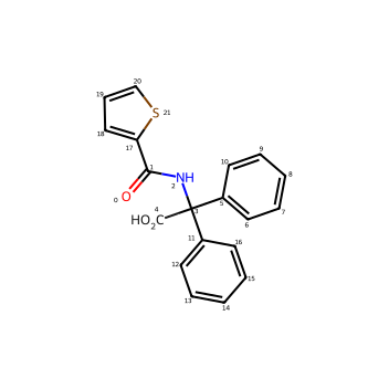 O=C(NC(C(=O)O)(c1ccccc1)c1ccccc1)c1cccs1